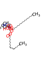 CCCCC/C=C\C/C=C\CCCCCCCC(=O)OC[C@H](COP(=O)(O)OCC[N+](C)(C)C)OC(=O)CCCCCCCCCCCCCCCCC